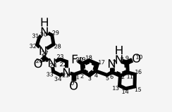 O=C(c1cc(Cc2n[nH]c(=O)c3c2CCCC3)ccc1F)N1CCN(C(=O)N2CCNCC2)CC1